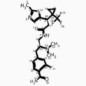 Cc1ncc([C@H](CC(=O)NC[C@H](Cc2ccc(C(N)=O)c(F)c2)N(C)C)C2(C(F)(F)F)CC2)s1